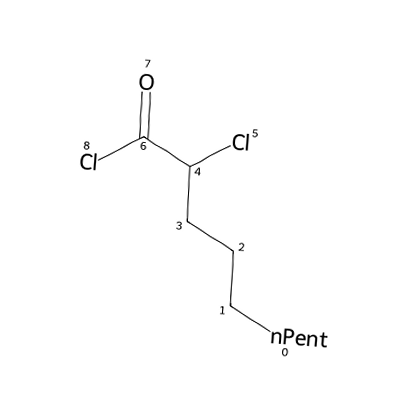 CCCCCCCCC(Cl)C(=O)Cl